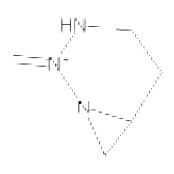 C=[N+]1NCCC2CN21